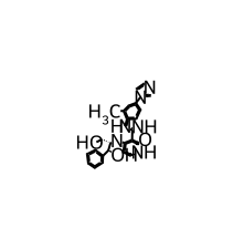 Cc1cc(-n2ccnc2)cc2[nH]c(-c3c(N[C@@H](CO)[C@@H](O)c4ccccc4)cc[nH]c3=O)nc12